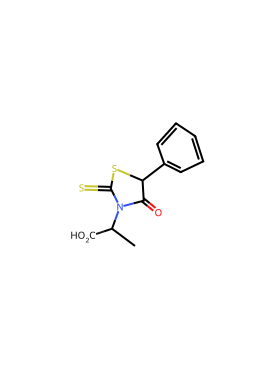 CC(C(=O)O)N1C(=O)C(c2ccccc2)SC1=S